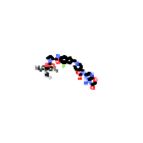 CC(C)(C)OC(=O)N1CC[C@@H]1c1nc2cc3c(c(F)c2o1)CC(CN1CCC2(CC1)CN(c1cnc4c(n1)NC(=O)CO4)C(=O)O2)C3